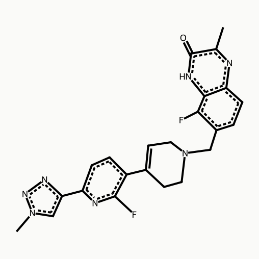 Cc1nc2ccc(CN3CC=C(c4ccc(-c5cn(C)nn5)nc4F)CC3)c(F)c2[nH]c1=O